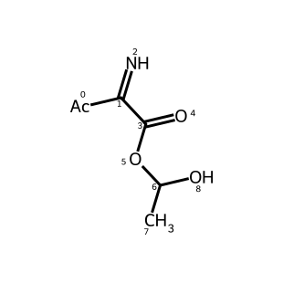 CC(=O)C(=N)C(=O)OC(C)O